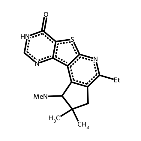 CCc1nc2sc3c(=O)[nH]cnc3c2c2c1CC(C)(C)C2NC